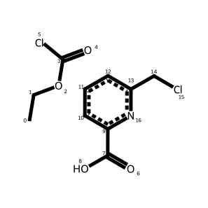 CCOC(=O)Cl.O=C(O)c1cccc(CCl)n1